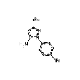 CCCCc1cc(N)n(-c2ccc(C(C)C)cc2)n1